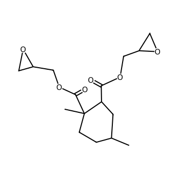 CC1CCC(C)(C(=O)OCC2CO2)C(C(=O)OCC2CO2)C1